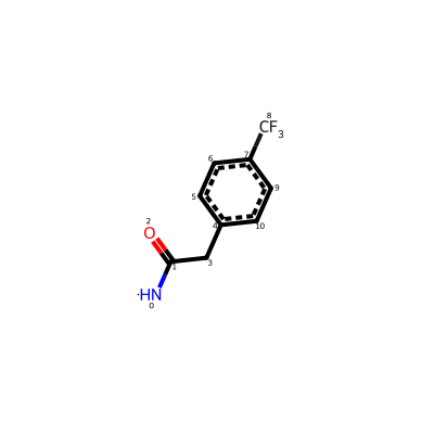 [NH]C(=O)Cc1ccc(C(F)(F)F)cc1